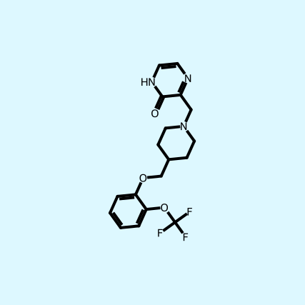 O=c1[nH]ccnc1CN1CCC(COc2ccccc2OC(F)(F)F)CC1